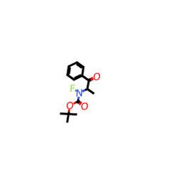 CC(C(=O)c1ccccc1)N(F)C(=O)OC(C)(C)C